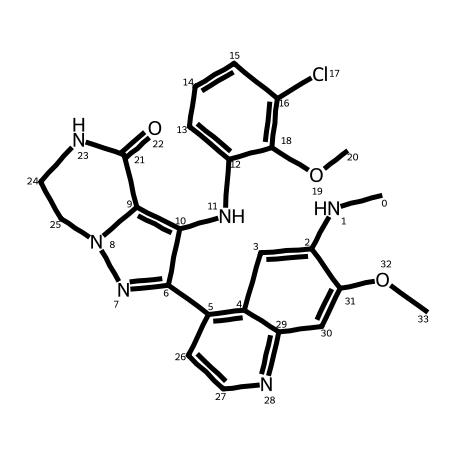 CNc1cc2c(-c3nn4c(c3Nc3cccc(Cl)c3OC)C(=O)NCC4)ccnc2cc1OC